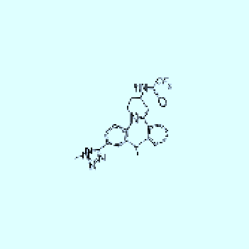 C[C@@H]1c2ccccc2C2C[C@H](NC(=O)C(F)(F)F)CCN2c2ccc(-c3nnn(C)n3)cc21